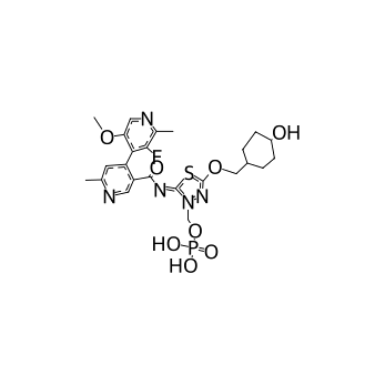 COc1cnc(C)c(F)c1-c1cc(C)ncc1C(=O)/N=c1\sc(OCC2CCC(O)CC2)nn1COP(=O)(O)O